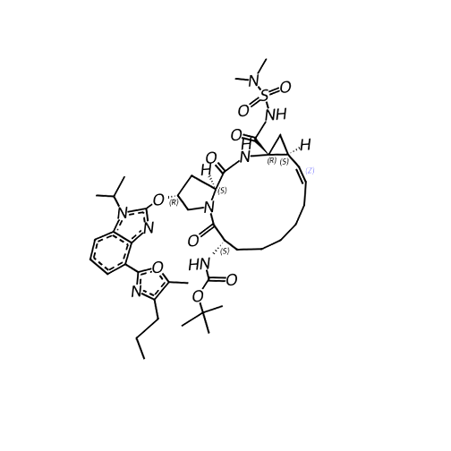 CCCc1nc(-c2cccc3c2nc(O[C@@H]2C[C@H]4C(=O)N[C@]5(C(=O)NS(=O)(=O)N(C)C)C[C@H]5/C=C\CCCCC[C@H](NC(=O)OC(C)(C)C)C(=O)N4C2)n3C(C)C)oc1C